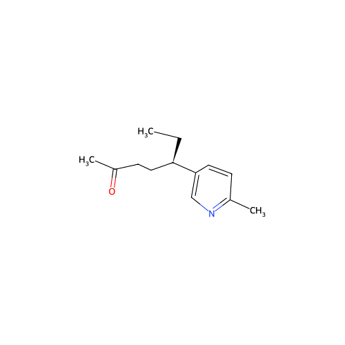 CC[C@H](CCC(C)=O)c1ccc(C)nc1